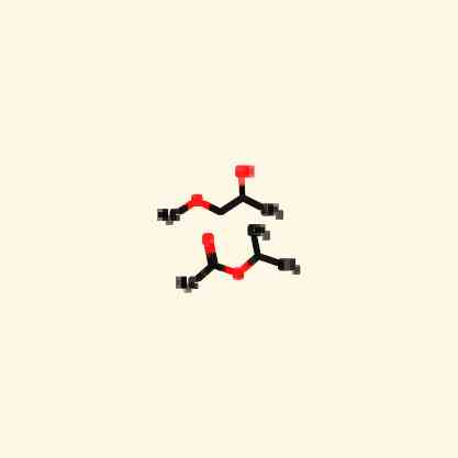 CC(=O)OC(C)C.COCC(C)O